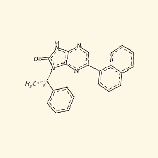 C[C@@H](c1ccccc1)n1c(=O)[nH]c2ncc(-c3cccc4ccccc34)nc21